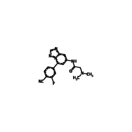 CN(C)CC(=O)Nc1cc(-c2ccc(C#N)c(F)c2)n2ncnc2c1